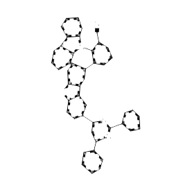 N#Cc1cccc(-c2ccc3sc4ccc(-c5cc(-c6ccccc6)nc(-c6ccccc6)n5)cc4c3c2)c1-n1c2ccccc2c2ccccc21